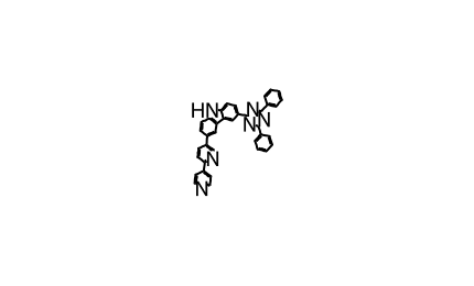 c1ccc(-c2nc(-c3ccccc3)nc(-c3ccc4[nH]c5ccc(-c6ccc(-c7ccncc7)nc6)cc5c4c3)n2)cc1